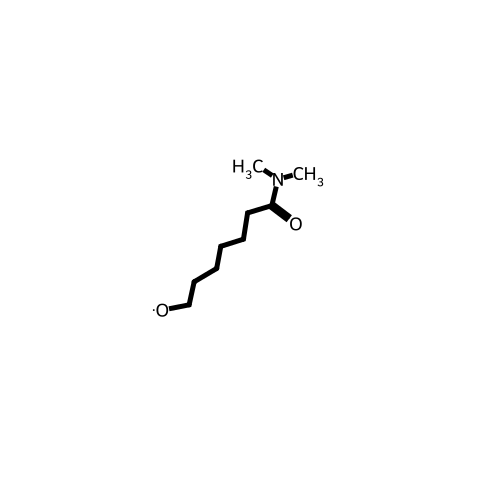 CN(C)C(=O)CCCCCC[O]